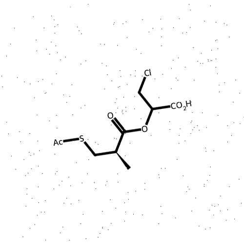 CC(=O)SC[C@H](C)C(=O)OC(CCl)C(=O)O